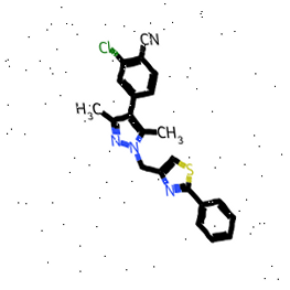 Cc1nn(Cc2csc(-c3ccccc3)n2)c(C)c1-c1ccc(C#N)c(Cl)c1